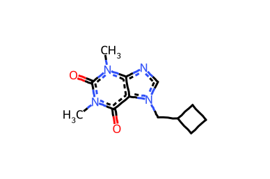 Cn1c(=O)c2c(ncn2CC2CCC2)n(C)c1=O